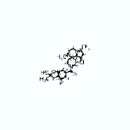 CN1CCn2c(C(F)(F)F)cc(Cl)c2C12CCN(C(=O)c1ccc(CC(C)(C)O)c(F)c1)CC2